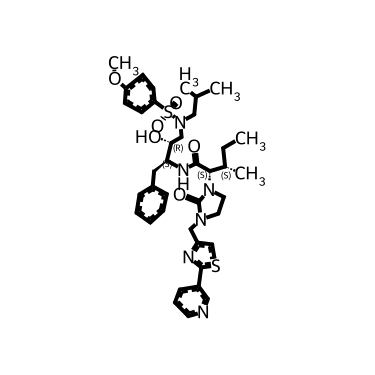 CC[C@H](C)[C@@H](C(=O)N[C@@H](Cc1ccccc1)[C@H](O)CN(CC(C)C)S(=O)(=O)c1ccc(OC)cc1)N1CCN(Cc2csc(-c3cccnc3)n2)C1=O